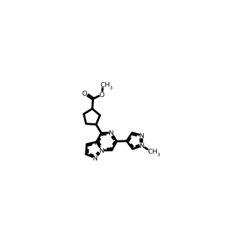 COC(=O)C1CCC(c2nc(-c3cnn(C)c3)cn3nccc23)C1